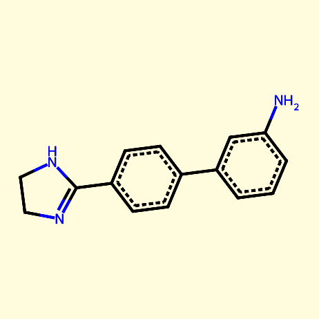 Nc1cccc(-c2ccc(C3=NCCN3)cc2)c1